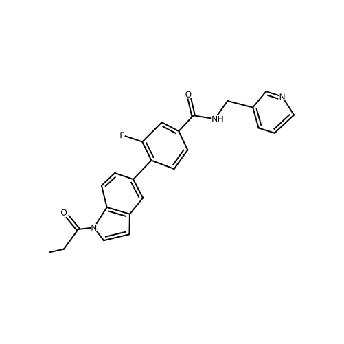 CCC(=O)n1ccc2cc(-c3ccc(C(=O)NCc4cccnc4)cc3F)ccc21